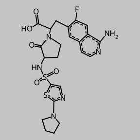 Nc1nccc2cc(CC(C(=O)O)N3CCC(NS(=O)(=O)c4cnc(N5CCCC5)s4)C3=O)c(F)cc12